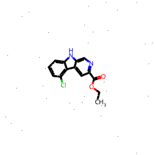 CCOC(=O)c1cc2c(cn1)[nH]c1cccc(Cl)c12